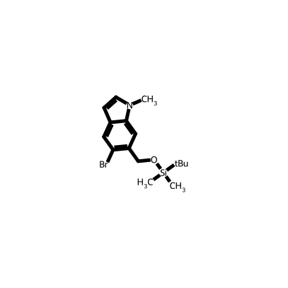 Cn1ccc2cc(Br)c(CO[Si](C)(C)C(C)(C)C)cc21